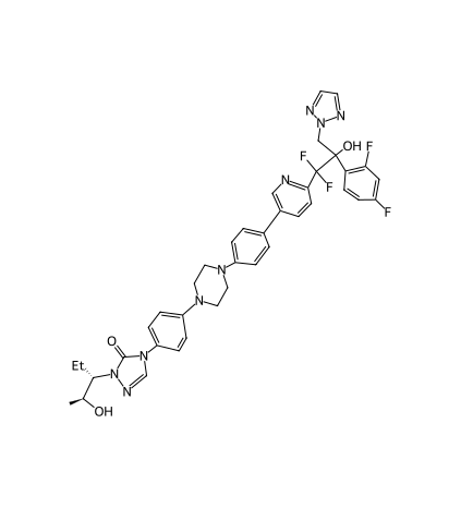 CC[C@@H]([C@H](C)O)n1ncn(-c2ccc(N3CCN(c4ccc(-c5ccc(C(F)(F)C(O)(Cn6nccn6)c6ccc(F)cc6F)nc5)cc4)CC3)cc2)c1=O